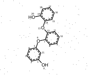 Oc1cccc(Oc2ccccc2Oc2ccccc2O)c1